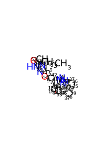 CCCCc1c(Cc2ccc(-c3ccccc3-c3nnnn3C(c3ccccc3)(c3ccccc3)c3ccccc3)cc2)c(=O)nc2n1C(C)(C)C(=O)N2